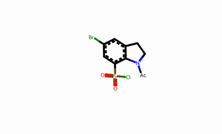 CC(=O)N1CCc2cc(Br)cc(S(=O)(=O)Cl)c21